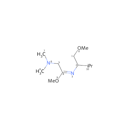 COCC(/N=C(\CN(C)C)OC)C(C)C